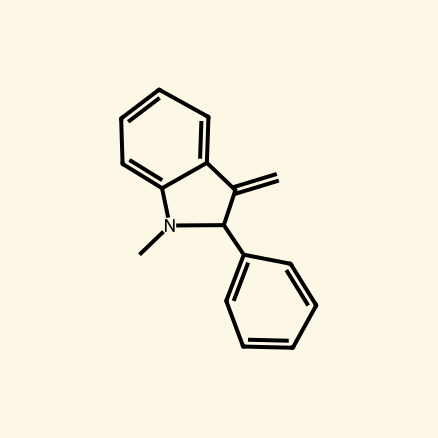 C=C1c2ccccc2N(C)C1c1ccccc1